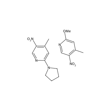 COc1cc(C)c([N+](=O)[O-])cn1.Cc1cc(N2CCCC2)ncc1[N+](=O)[O-]